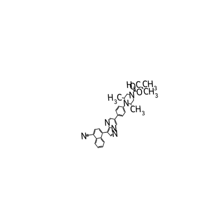 CC1CN(C(=O)OC(C)(C)C)CC(C)N1c1ccc(-c2cnc3c(-c4ccc(C#N)c5ccccc45)cnn3c2)cc1